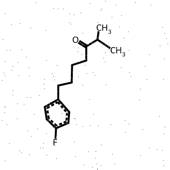 CC(C)C(=O)CCCCc1ccc(F)cc1